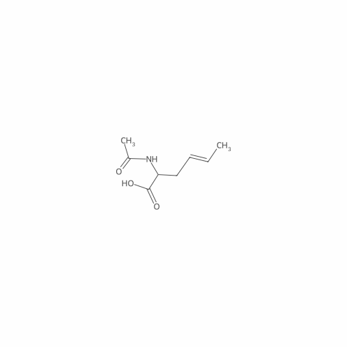 CC=CCC(NC(C)=O)C(=O)O